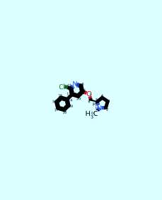 CN1CCC[C@@H]1COc1cnc(Cl)c(-c2ccccc2)c1